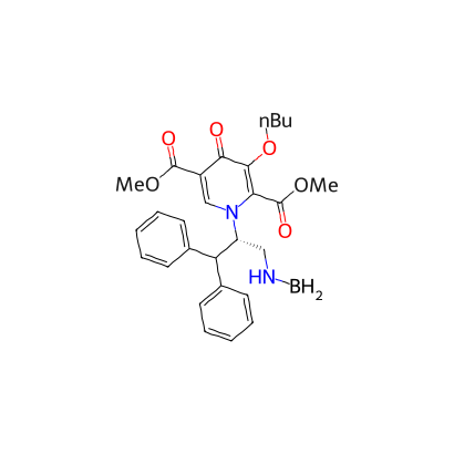 BNC[C@H](C(c1ccccc1)c1ccccc1)n1cc(C(=O)OC)c(=O)c(OCCCC)c1C(=O)OC